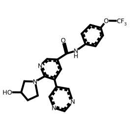 O=C(Nc1ccc(OC(F)(F)F)cc1)c1cnc(N2CCC(O)C2)c(-c2cncnc2)c1